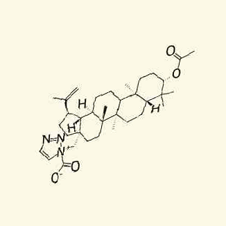 C=C(C)[C@@H]1CC[C@]2(C[N+]3(C(=O)[O-])C=CN=N3)CC[C@]3(C)[C@H](CCC4[C@@]5(C)CC[C@H](OC(C)=O)C(C)(C)[C@@H]5CC[C@]43C)[C@@H]12